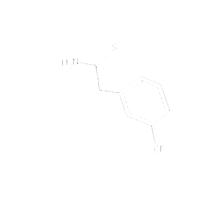 NC(=S)Cc1cccc(C(F)(F)F)c1